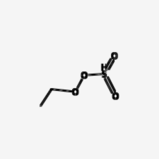 CCOO[SH](=O)=O